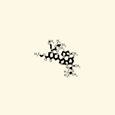 CCOC(=O)c1cn(N(CCOC)C(=O)OC(C)(C)C)c2ncc(-c3cnc4[nH]c5c(N(C)C(=O)OC(C)(C)C)cc(F)c(F)c5c4c3N3CCC4CN(C)CC43)cc2c1=O